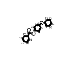 O=C(Oc1ccc(Oc2ccccc2)cc1)c1ccccc1